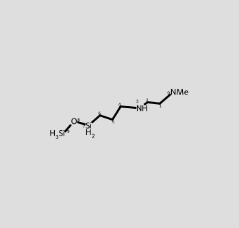 CNCCNCCC[SiH2]O[SiH3]